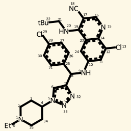 CCN1CCC(n2cc(C(Nc3cc(Cl)c4ncc(C#N)c(NCC(C)(C)C)c4c3)c3ccc(Cl)cc3)nn2)CC1